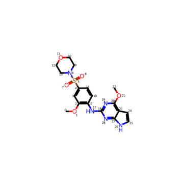 COc1cc(S(=O)(=O)N2CCOCC2)ccc1Nc1nc(OC)c2cc[nH]c2n1